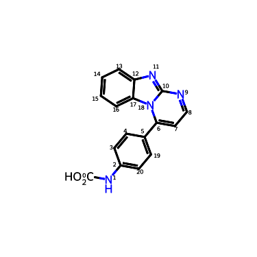 O=C(O)Nc1ccc(-c2ccnc3nc4ccccc4n23)cc1